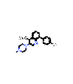 COc1c(N2CCN(C)CC2)cnc2c(-c3ccc(C#N)cc3)cccc12